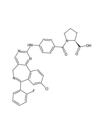 O=C(O)[C@@H]1CCCN1C(=O)c1ccc(Nc2ncc3c(n2)-c2ccc(Cl)cc2C(c2ccccc2F)=NC3)cc1